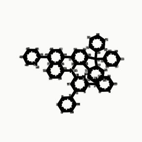 c1ccc(-c2cc(-c3ccccc3)nc(N3c4c(ccc5c4-c4ccccc4C5(c4ccccc4)c4ccccc4)-c4ccc(-c5ccccn5)c5cccc3c45)c2)cc1